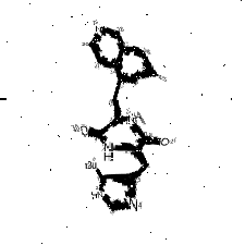 CC(C)(C)c1[nH]cnc1/C=c1\[nH]c(=O)/c(=C/c2cccc3cnccc23)[nH]c1=O